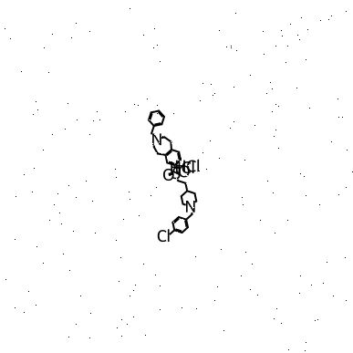 Cl.Cl.O=S(=O)(CCC1CCN(Cc2ccc(Cl)cc2)CC1)c1ccc2c(c1)CCN(Cc1ccccc1)CC2